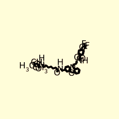 CC(C)(C)OC(=O)NCCCCCCC(=O)NCc1ccc2c(c1)Oc1ccccc1N2CCCNS(=O)(=O)c1ccc(OC(F)(F)F)cc1